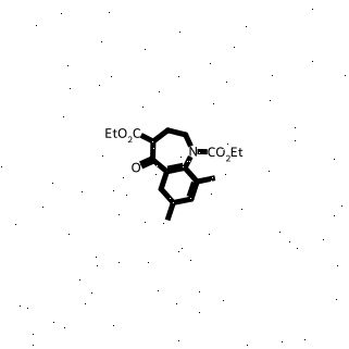 CCOC(=O)C1CCN(C(=O)OCC)C2=C(CC(C)C=C2C)C1=O